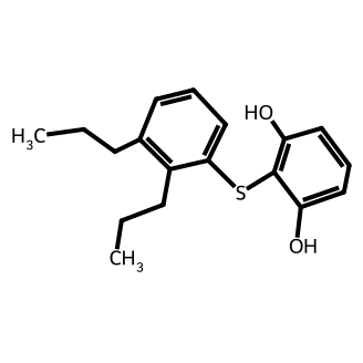 CCCc1cccc(Sc2c(O)cccc2O)c1CCC